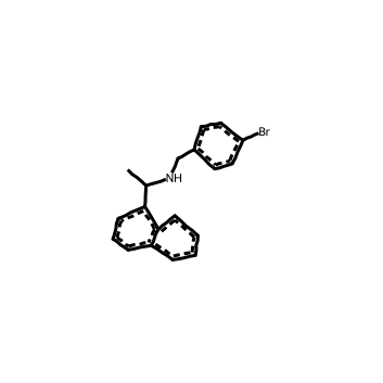 CC(NCc1ccc(Br)cc1)c1cccc2ccccc12